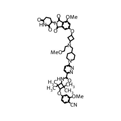 COCCN(CC1CCN(c2ccc(C(=O)NC3C(C)(C)C(Oc4ccc(C#N)c(OC)c4)C3(C)C)nn2)CC1)C1CC(Oc2cc(OC)c3c(c2)C(=O)N([C@@H]2CCC(=O)NC2=O)C3=O)C1